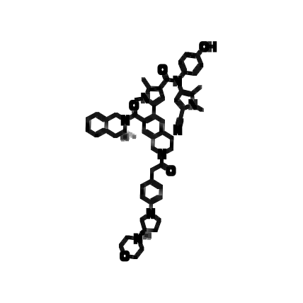 Cc1c(N(C(=O)c2cc(-c3cc4c(cc3C(=O)N3Cc5ccccc5C[C@H]3C)CN(C(=O)Cc3ccc(N5CC[C@@H](N6CCOCC6)C5)cc3)CC4)n(C)c2C)c2ccc(O)cc2)cc(C#N)n1C